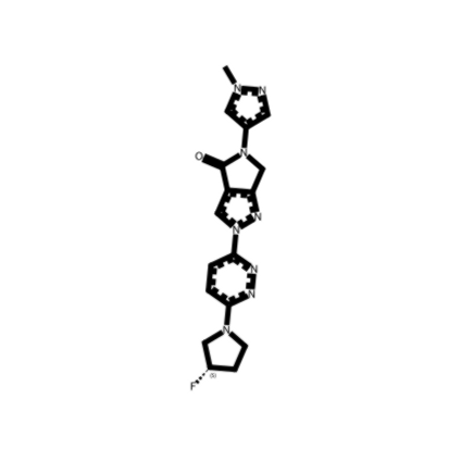 Cn1cc(N2Cc3nn(-c4ccc(N5CC[C@H](F)C5)nn4)cc3C2=O)cn1